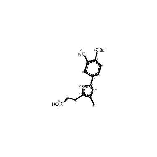 Cc1nc(-c2ccc(OCC(C)C)c(C#N)c2)sc1CCC(=O)O